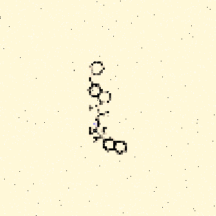 O=C(/C=C/C1(S(=O)(=O)c2ccc3ccccc3c2)CC1)N[C@@H]1CCCc2cc(CN3CCCCC3)ccc21